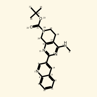 CNc1nc(-c2cnc3ccccc3c2)nc2c1CCN(C(=O)OC(C)(C)C)C2